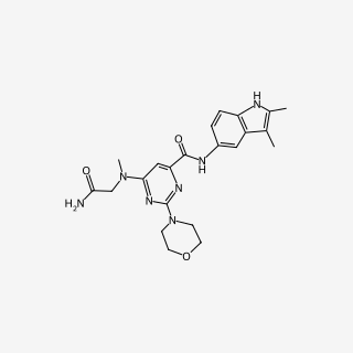 Cc1[nH]c2ccc(NC(=O)c3cc(N(C)CC(N)=O)nc(N4CCOCC4)n3)cc2c1C